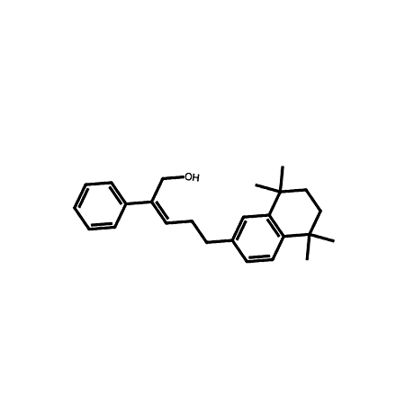 CC1(C)CCC(C)(C)c2cc(CCC=C(CO)c3ccccc3)ccc21